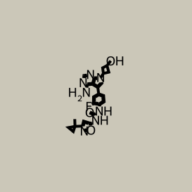 CC1(c2cc(NC(=O)Nc3ccc(-c4cn(C5CC(O)C5)c5ncnc(N)c45)cc3F)on2)CC1